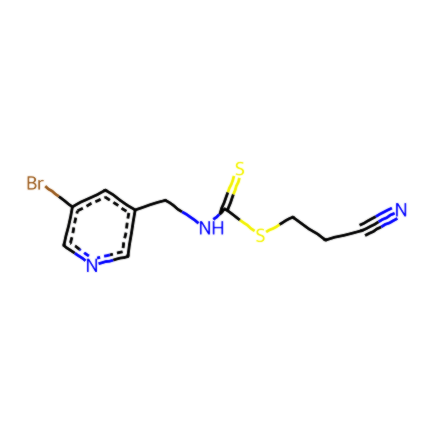 N#CCCSC(=S)NCc1cncc(Br)c1